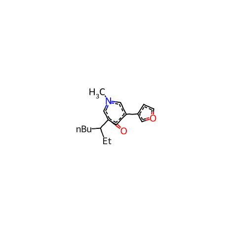 CCCCC(CC)c1cn(C)cc(-c2ccoc2)c1=O